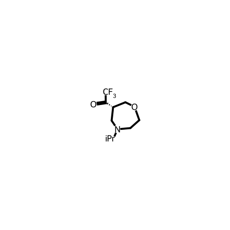 CC(C)N1CCOC[C@@H](C(=O)C(F)(F)F)C1